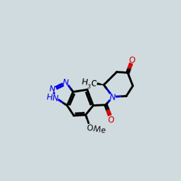 COc1cc2[nH]nnc2cc1C(=O)N1CCC(=O)C[C@@H]1C